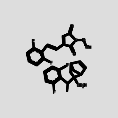 CC(C)(C)ON1C(=O)C=C(C=Cc2c(F)cccc2F)C1=O.CC(c1c(F)cccc1F)C1(C(=O)O)CC2C=CC1C2